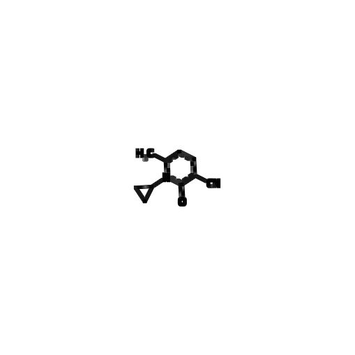 Cc1ccc(C#N)c(=O)n1C1CC1